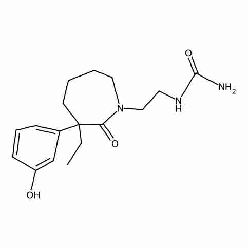 CCC1(c2cccc(O)c2)CCCCN(CCNC(N)=O)C1=O